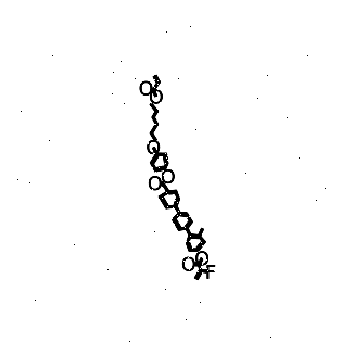 C=CC(=O)OCCCCCCOc1ccc(OC(=O)c2ccc(-c3ccc(-c4ccc(OC(=O)C(=C)F)cc4C)cc3)cc2)cc1